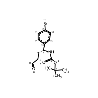 CC(C)(C)OC(=O)N[C@H](CCC=O)c1ccc(Br)cc1